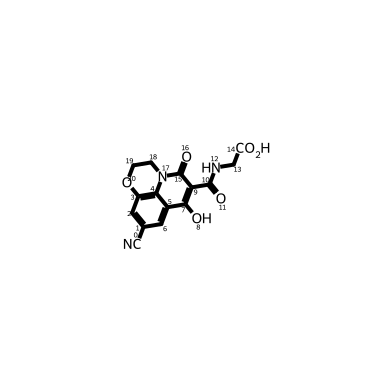 N#Cc1cc2c3c(c1)c(O)c(C(=O)NCC(=O)O)c(=O)n3CCO2